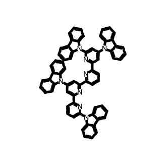 c1cc(-c2cc(-n3c4ccccc4c4ccccc43)cc(-c3cccc(-n4c5ccccc5c5ccccc54)n3)n2)nc(-c2cc(-n3c4ccccc4c4ccccc43)cc(-n3c4ccccc4c4ccccc43)n2)c1